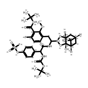 COc1c(CC(NC(=O)C(NC(=O)OC(C)(C)C)c2ccc(OS(=O)(=O)F)cc2)B2O[C@@H]3C[C@@H]4C[C@@H](C4(C)C)[C@]3(C)O2)ccc(F)c1C(=O)OC(C)(C)C